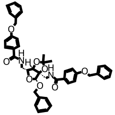 CC1(C)O[C@@H]2[C@@H](CNC(=O)c3ccc(OCc4ccccc4)cc3)O[C@@H](OCc3ccccc3)[C@]2(CNC(=O)c2ccc(OCc3ccccc3)cc2)O1